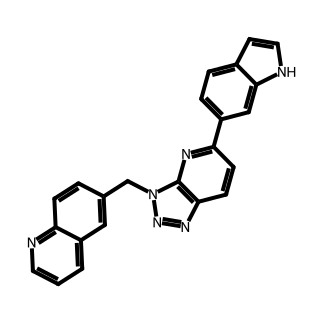 c1cnc2ccc(Cn3nnc4ccc(-c5ccc6cc[nH]c6c5)nc43)cc2c1